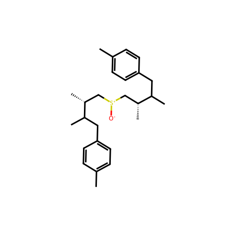 Cc1ccc(CC(C)[C@H](C)C[S+]([O-])C[C@@H](C)C(C)Cc2ccc(C)cc2)cc1